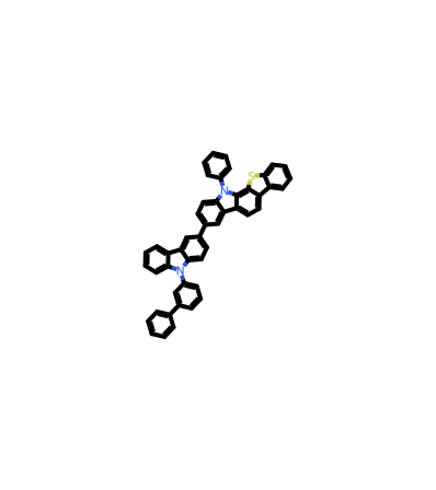 c1ccc(-c2cccc(-n3c4ccccc4c4cc(-c5ccc6c(c5)c5ccc7c8ccccc8sc7c5n6-c5ccccc5)ccc43)c2)cc1